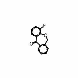 O=C1c2ccccc2COc2c(F)cccc21